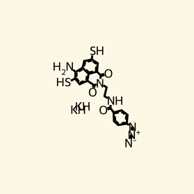 [KH].[KH].[N-]=[N+]=Nc1ccc(C(=O)NCCN2C(=O)c3cc(S)cc4c(N)c(S)cc(c34)C2=O)cc1